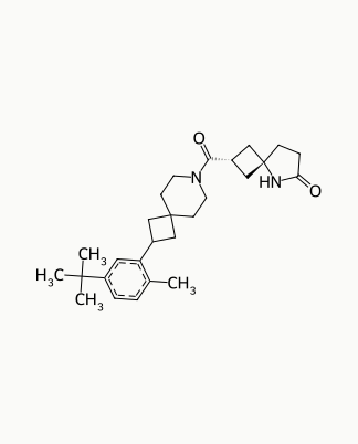 Cc1ccc(C(C)(C)C)cc1C1CC2(CCN(C(=O)[C@H]3C[C@]4(CCC(=O)N4)C3)CC2)C1